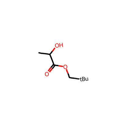 CC(O)C(=O)OCC(C)(C)C